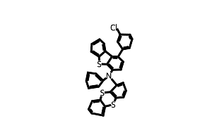 Clc1cccc(-c2ccc(N(c3ccccc3)c3cccc4c3Sc3ccccc3S4)c3sc4ccccc4c23)c1